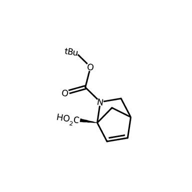 CC(C)(C)OC(=O)N1CC2C=C[C@@]1(C(=O)O)C2